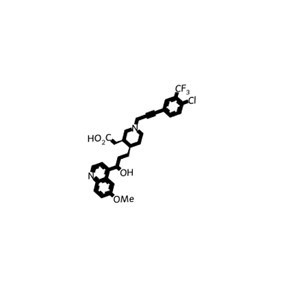 COc1ccc2nccc(C(O)CC[C@@H]3CCN(CC#Cc4ccc(Cl)c(C(F)(F)F)c4)C[C@@H]3CC(=O)O)c2c1